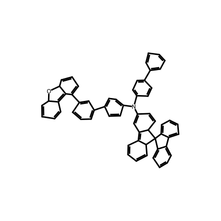 C1=CC2=C3C(c4cccc(-c5ccc(N(C6=CC7=C8C=CC=CC8C8(c9ccccc9-c9ccccc98)C7C=C6)c6ccc(-c7ccccc7)cc6)cc5)c4)=CC=CC3OC2C=C1